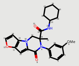 COc1cccc(N2C(=O)c3cc4occc4n3CC2(C)C(=O)NC2CCCCC2)c1